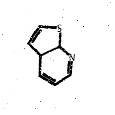 C1=CC2C=CSC2N=C1